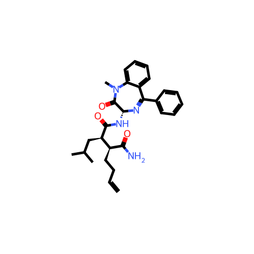 C=CCC[C@H](C(N)=O)[C@@H](CC(C)C)C(=O)N[C@H]1N=C(c2ccccc2)c2ccccc2N(C)C1=O